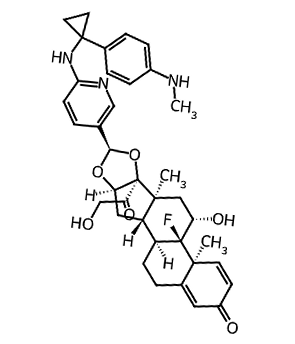 CNc1ccc(C2(Nc3ccc([C@@H]4O[C@@H]5C[C@H]6[C@@H]7CCC8=CC(=O)C=C[C@]8(C)[C@@]7(F)[C@@H](O)C[C@]6(C)[C@]5(C(=O)CO)O4)cn3)CC2)cc1